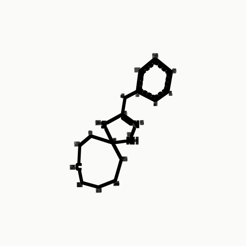 c1ccc(CC2=NNC3(CCCCCCC3)S2)cc1